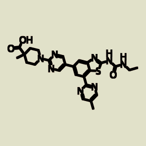 CCNC(=O)Nc1nc2cc(-c3cnc(N4CCC(C)(C(=O)O)CC4)nc3)cc(-c3ncc(C)cn3)c2s1